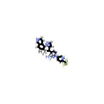 C=C(/C=C\N(N)c1ccc(C(F)(F)F)nc1)C(=C)c1ccnn1-c1cccc2cnccc12